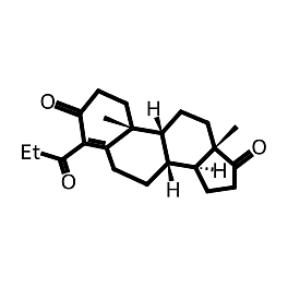 CCC(=O)C1=C2CC[C@@H]3[C@@H](CC[C@]4(C)C(=O)CC[C@@H]34)[C@@]2(C)CCC1=O